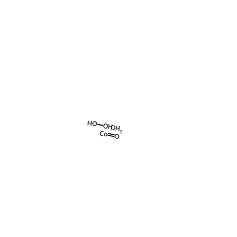 O.OO.[O]=[Co]